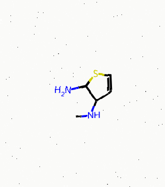 CNC1C=CSC1N